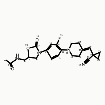 CC(=O)NCC1CN(c2ccc(N3CCC(=CC4(C#N)CC4)CC3)c(F)c2)C(=O)O1